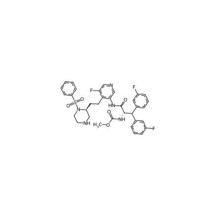 COC(=O)N[C@H](C(=O)Nc1cncc(F)c1CC[C@H]1CNCCN1S(=O)(=O)c1ccccc1)C(c1cccc(F)c1)c1cccc(F)c1